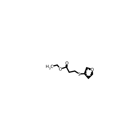 CCOC(=O)CCSc1ccoc1